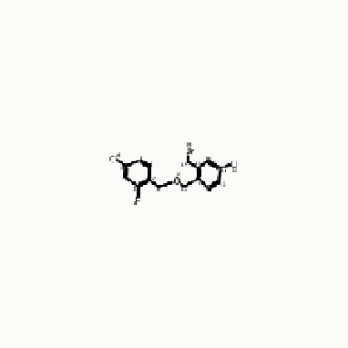 Fc1cc(Cl)ccc1COCc1ccc(Cl)cc1CBr